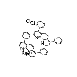 [Cl-].[Cl-].[Ru+2].c1ccc(-c2ccnc3c2ccc2c(-c4ccccc4)ccnc23)cc1.c1ccc(-c2ccnc3c2ccc2c(-c4ccccc4)ccnc23)cc1